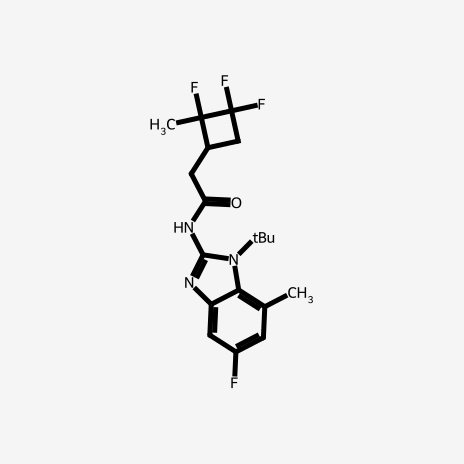 Cc1cc(F)cc2nc(NC(=O)CC3CC(F)(F)C3(C)F)n(C(C)(C)C)c12